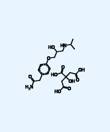 CC(C)NCC(O)COc1ccc(CC(N)=O)cc1.O=C(O)CC(O)(CC(=O)O)C(=O)O